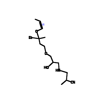 C/C=C\OC(C)(CC)CCOCC(O)CNCC(C)C#N